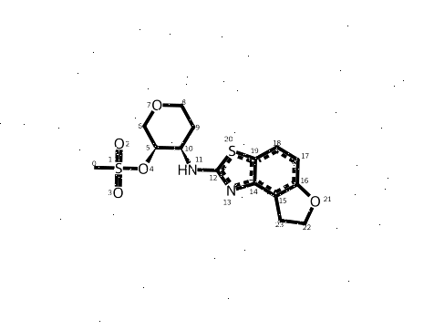 CS(=O)(=O)O[C@H]1COCC[C@H]1Nc1nc2c3c(ccc2s1)OCC3